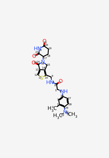 Cc1cc(NCC(=O)NCc2scc3c2CN(C2CCC(=O)NC2=O)C3=O)ccc1N(C)C